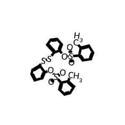 Cc1ccccc1S(=O)(=O)Oc1ccccc1SSc1ccccc1OS(=O)(=O)c1ccccc1C